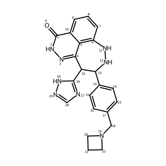 O=c1[nH]nc2c3c(cccc13)NNC(c1ccc(CN3CCC3)cc1)C2c1ncn[nH]1